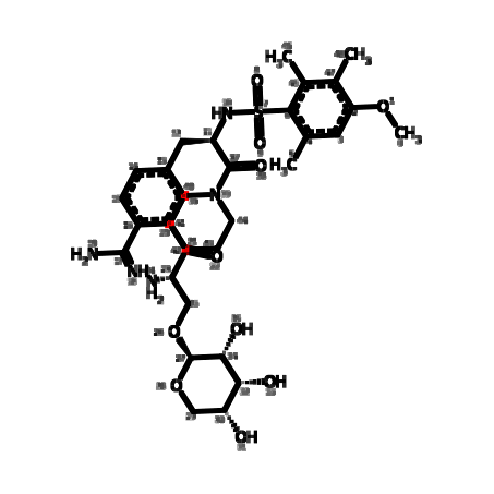 COc1cc(C)c(S(=O)(=O)N[C@H](Cc2ccc(C(=N)N)c(C(=O)[C@@H](N)CO[C@@H]3OC[C@@H](O)[C@@H](O)[C@H]3O)c2)C(=O)N2CCCCC2)c(C)c1C